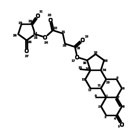 CC12CCC(=O)C=C1CCC1C2CCC2(C)C(OC(=O)CCC(=O)ON3C(=O)CCC3=O)CCC12